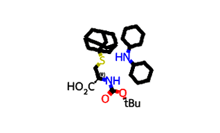 C1CCC(NC2CCCCC2)CC1.CC(C)(C)OC(=O)N[C@@H](CSC12CC3CC(CC(C3)C1)C2)C(=O)O